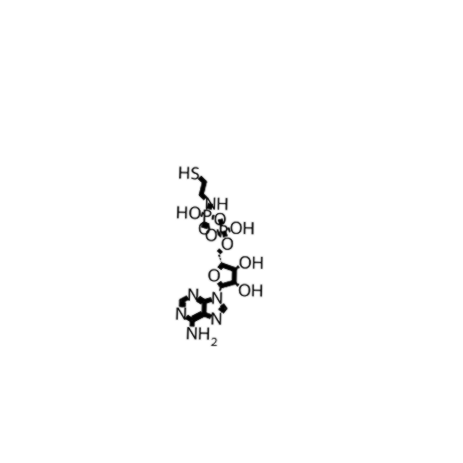 Nc1ncnc2c1ncn2[C@@H]1O[C@H](COP(=O)(O)OP(=O)(O)NCCS)[C@@H](O)[C@H]1O